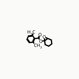 Cc1cccc(C)c1C(=O)OC12CCCCC1O2